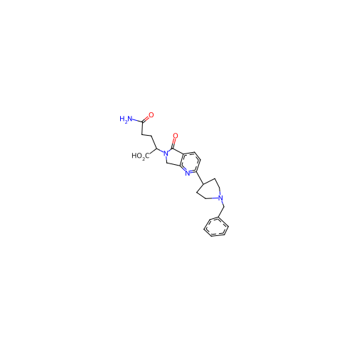 NC(=O)CCC(C(=O)O)N1Cc2nc(C3CCN(Cc4ccccc4)CC3)ccc2C1=O